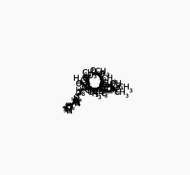 CC[C@H]1OC(=O)[C@H](C)C(=O)C(C)[C@@H](O[C@@H]2O[C@H](C)C[C@H](N(C)CC)[C@H]2O)[C@](C)(OC)C[C@@H](C)C(=O)[C@H](C)[C@H]2N(CCCCn3cnc(-c4cccnc4)c3)C(=O)O[C@]12C